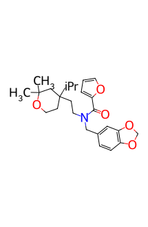 CC(C)C1(CCN(Cc2ccc3c(c2)OCO3)C(=O)c2ccco2)CCOC(C)(C)C1